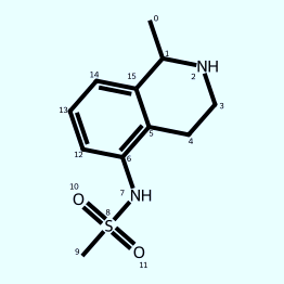 CC1NCCc2c(NS(C)(=O)=O)cccc21